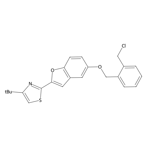 CC(C)(C)c1csc(-c2cc3cc(OCc4ccccc4CCl)ccc3o2)n1